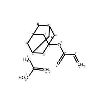 C=C(C)C(=O)O.C=CC(=O)OC12CC3CC(CC(C3)C1)C2